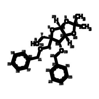 CC1(C)O[C@@H]2O[C@](CO)(COCc3ccccc3)[C@@H](OCc3ccccc3)[C@H]2O1